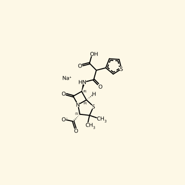 CC1(C)S[C@@H]2[C@H](NC(=O)C(C(=O)O)c3ccsc3)C(=O)N2[C@H]1C(=O)[O-].[Na+]